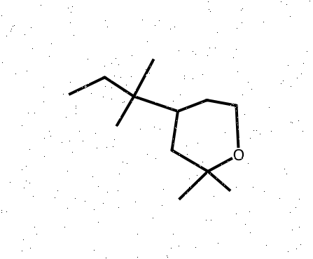 CCC(C)(C)C1CCOC(C)(C)C1